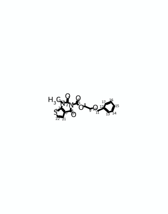 Cn1c(=O)n(C(=O)OCCOCc2ccccc2)c(=O)c2ccsc21